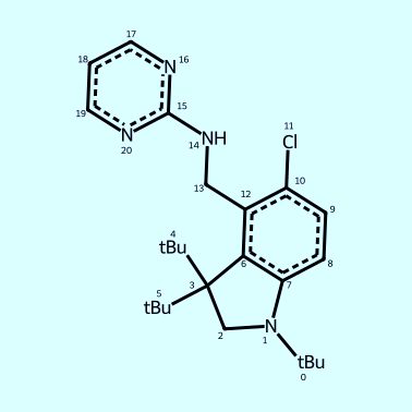 CC(C)(C)N1CC(C(C)(C)C)(C(C)(C)C)c2c1ccc(Cl)c2CNc1ncccn1